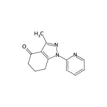 Cc1nn(-c2ccccn2)c2c1C(=O)CCC2